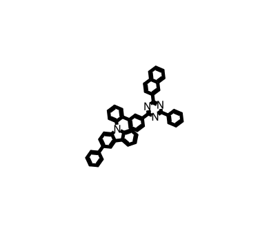 c1ccc(-c2ccc3c(c2)c2ccccc2n3-c2ccccc2-c2cccc(-c3nc(-c4ccccc4)nc(-c4ccc5ccccc5c4)n3)c2)cc1